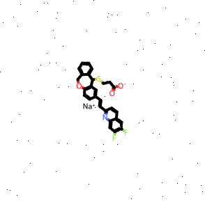 O=C([O-])CCSC1c2ccccc2COc2ccc(/C=C/c3ccc4cc(F)c(F)cc4n3)cc21.[Na+]